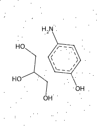 Nc1ccc(O)cc1.OCC(O)CO